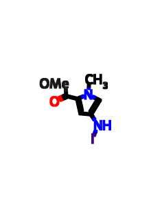 COC(=O)c1cc(NI)cn1C